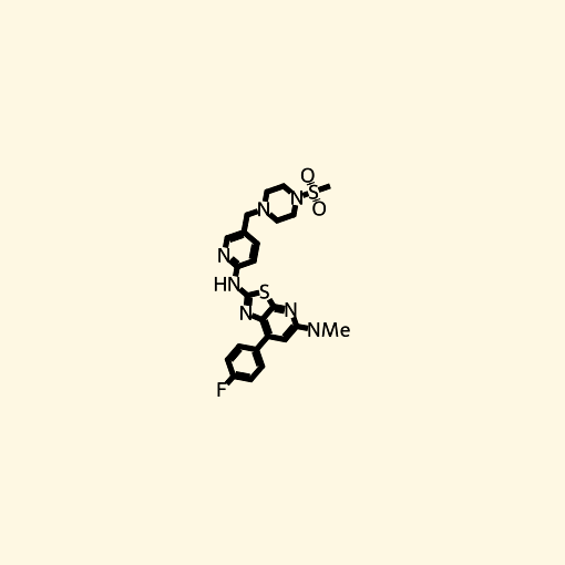 CNc1cc(-c2ccc(F)cc2)c2nc(Nc3ccc(CN4CCN(S(C)(=O)=O)CC4)cn3)sc2n1